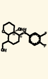 OCC1CC[C@H](Nc2ccc(F)c(F)c2)[C@]2(O)CCCOC12